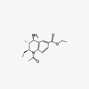 CCOC(=O)c1ccc2c(c1)[C@H](N)[C@@H](C)[C@H](CC)N2C(C)=O